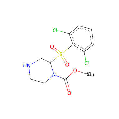 CC(C)(C)OC(=O)N1CCNCC1S(=O)(=O)c1c(Cl)cccc1Cl